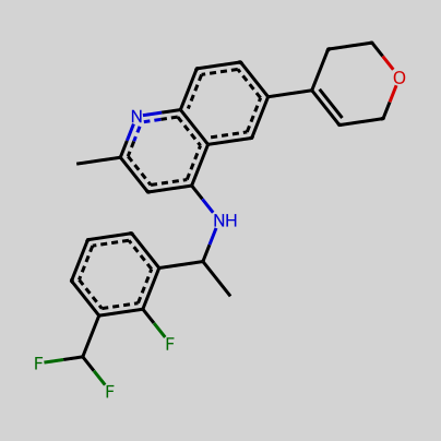 Cc1cc(NC(C)c2cccc(C(F)F)c2F)c2cc(C3=CCOCC3)ccc2n1